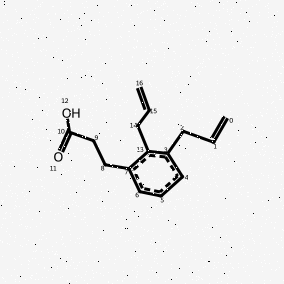 C=CCc1cccc(CCC(=O)O)c1CC=C